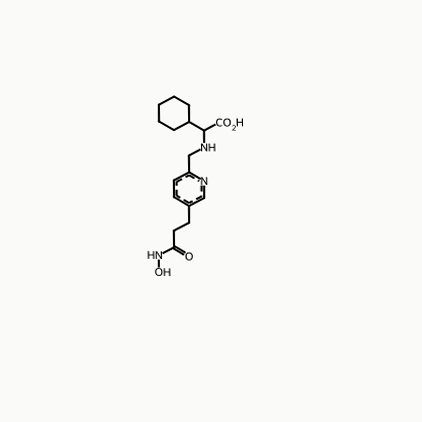 O=C(CCc1ccc(CNC(C(=O)O)C2CCCCC2)nc1)NO